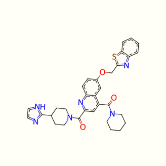 O=C(c1cc(C(=O)N2CCCCC2)c2cc(OCc3nc4ccccc4s3)ccc2n1)N1CCC(c2ncc[nH]2)CC1